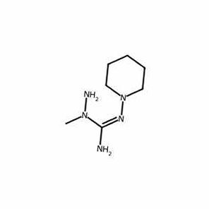 CN(N)C(N)=NN1CCCCC1